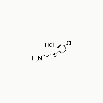 Cl.NCCCSc1ccc(Cl)cc1